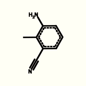 Cc1c(N)cccc1C#N